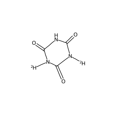 [2H]n1c(=O)[nH]c(=O)n([2H])c1=O